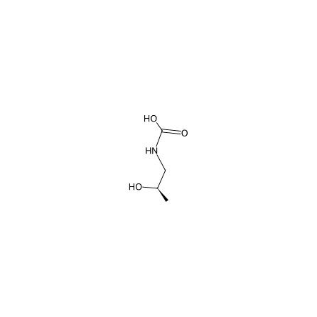 C[C@@H](O)CNC(=O)O